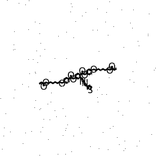 C=CC(=O)OCCCCCCOc1ccc(OC(=O)c2ccc(OC(=O)c3ccc(OCCCCCCOC(=O)C=C)cc3)cc2/C=N/N=C/c2ccsc2)cc1